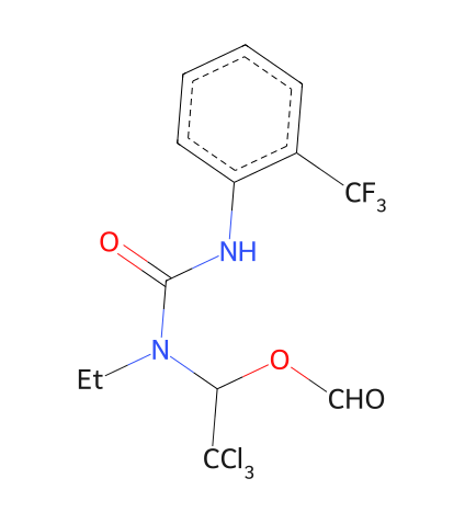 CCN(C(=O)Nc1ccccc1C(F)(F)F)C(OC=O)C(Cl)(Cl)Cl